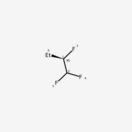 CC[C@@H](F)C(F)F